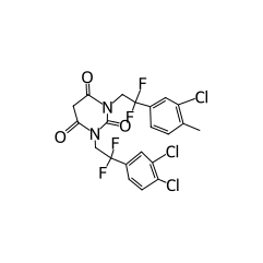 Cc1ccc(C(F)(F)CN2C(=O)CC(=O)N(CC(F)(F)c3ccc(Cl)c(Cl)c3)C2=O)cc1Cl